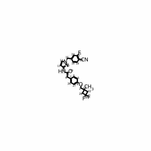 CC1(COc2ccc(CC(=O)Nc3ccn(Cc4ccc(C#N)c(F)c4)n3)cc2)CC(F)(F)C1